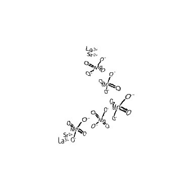 [La+3].[La+3].[O]=[Mn](=[O])([O-])[O-].[O]=[Mn](=[O])([O-])[O-].[O]=[Mn](=[O])([O-])[O-].[O]=[Mn](=[O])([O-])[O-].[O]=[Mn](=[O])([O-])[O-].[Sr+2].[Sr+2]